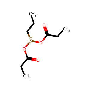 CCC[SH](OC(=O)CC)OC(=O)CC